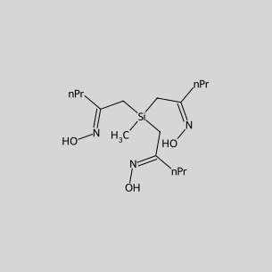 CCCC(C[Si](C)(CC(CCC)=NO)CC(CCC)=NO)=NO